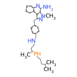 CC(C)CCCPC(C)CCNCc1ccc(Cc2nn(C)c3c(N)nc4ccccc4c23)cc1